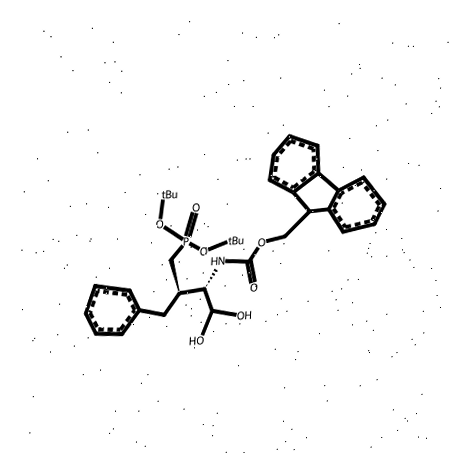 CC(C)(C)OP(=O)(C[C@H](Cc1ccccc1)[C@H](NC(=O)OCC1c2ccccc2-c2ccccc21)C(O)O)OC(C)(C)C